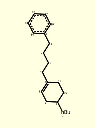 CCCCC1CC=C(CCCCc2ccccc2)CC1